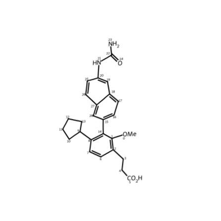 COc1c(CCC(=O)O)ccc(C2CCCC2)c1-c1ccc2cc(NC(N)=O)ccc2c1